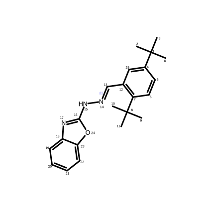 CC(C)(C)c1ccc(C(C)(C)C)c(/C=N/Nc2nc3ccccc3o2)c1